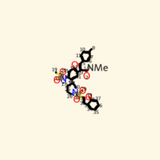 CNC(=O)c1c(-c2ccc(C)cc2)oc2cc(N(C)S(C)(=O)=O)c([C@H]3CCCN(S(=O)(=O)c4cc5ccccc5o4)C3)cc12